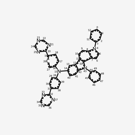 c1ccc(-n2ccc3c2ccc2c4cc(N(c5ccc(-c6ncncn6)cc5)c5ccc(-c6ncncn6)cc5)ccc4n(-c4ccccc4)c23)cc1